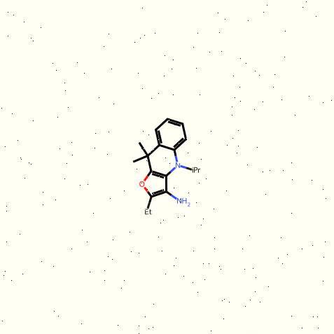 CCc1oc2c(c1N)N(C(C)C)c1ccccc1C2(C)C